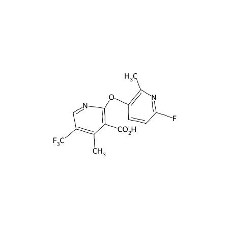 Cc1nc(F)ccc1Oc1ncc(C(F)(F)F)c(C)c1C(=O)O